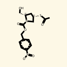 CC(=O)S[C@H]1C[C@@H](CO)N(C(=O)OCc2ccc([N+](=O)[O-])cc2)C1